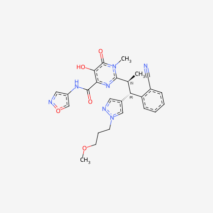 COCCCn1cc([C@@H](c2ccccc2C#N)[C@H](C)c2nc(C(=O)Nc3cnoc3)c(O)c(=O)n2C)cn1